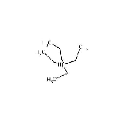 C[CH2][Hf]([CH2]C)([CH2]C)[CH2]C